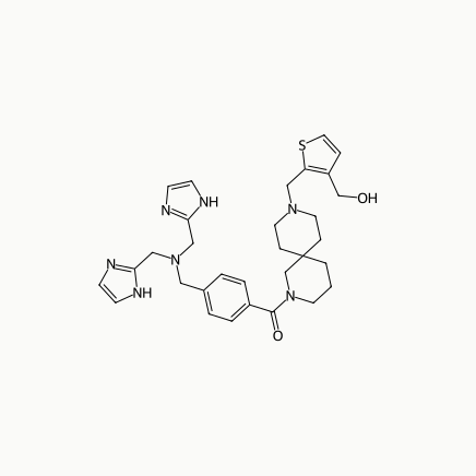 O=C(c1ccc(CN(Cc2ncc[nH]2)Cc2ncc[nH]2)cc1)N1CCCC2(CCN(Cc3sccc3CO)CC2)C1